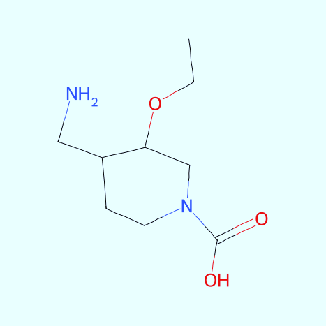 CCOC1CN(C(=O)O)CCC1CN